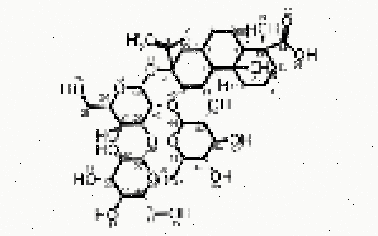 C=C1C[C@]23CC[C@@H]4[C@](C)(CCC[C@@]4(C)C(=O)O)[C@H]2CC[C@@]1(O[C@@H]1O[C@H](CO)[C@@H](O)[C@H](O[C@@H]2O[C@H](CO)[C@@H](O)[C@H](O)[C@H]2O)[C@H]1O[C@@H]1O[C@H](CO)[C@@H](O)[C@H](O)[C@H]1O)C3